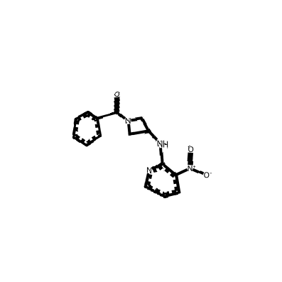 O=C(c1ccccc1)N1CC(Nc2ncccc2[N+](=O)[O-])C1